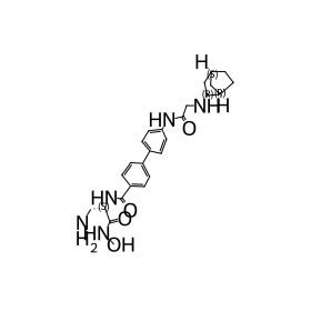 NC[C@H](NC(=O)c1ccc(-c2ccc(NC(=O)CN[C@@H]3C[C@H]4CC[C@@H]3C4)cc2)cc1)C(=O)NO